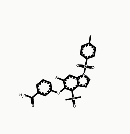 Cc1ccc(S(=O)(=O)n2ccc3c(P(C)(C)=O)c(Oc4cccc(C(N)=S)c4)c(F)cc32)cc1